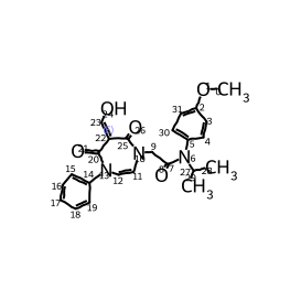 COc1ccc(N(C(=O)CN2C=CN(c3ccccc3)C(=O)/C(=C/O)C2=O)C(C)C)cc1